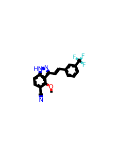 COc1c(C#N)ccc2[nH]nc(C=Cc3cccc(C(F)(F)F)c3)c12